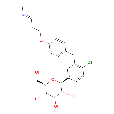 CN=CCCOc1ccc(Cc2cc([C@@H]3O[C@H](CO)[C@@H](O)[C@H](O)[C@H]3O)ccc2Cl)cc1